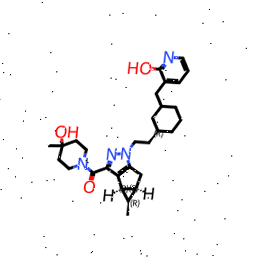 C[C@@H]1[C@@H]2Cc3c(c(C(=O)N4CCC(C)(O)CC4)nn3CC[C@@H]3CCCC(Cc4cccnc4O)C3)[C@H]12